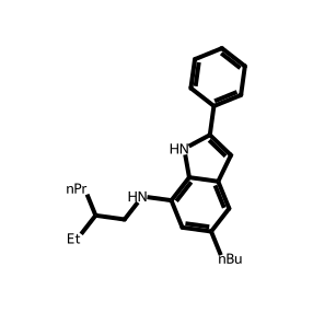 CCCCc1cc(NCC(CC)CCC)c2[nH]c(-c3ccccc3)cc2c1